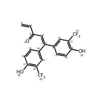 C=CC(=O)C=C(c1ccc(O)c(C(F)(F)F)c1)c1ccc(O)c(C(F)(F)F)c1